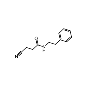 N#CCCC(=O)NCCc1ccccc1